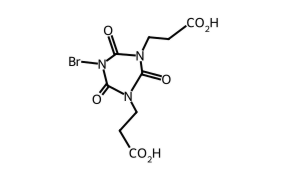 O=C(O)CCn1c(=O)n(Br)c(=O)n(CCC(=O)O)c1=O